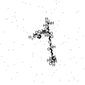 C[C@H](N)C(=O)N1CCC[C@H]1C(=O)N[C@@H](C)C(=O)N[C@@H](CCCNC(=N)N)C(=O)NC(=O)CCOCCNC(=O)CCCC[C@@H]1SC[C@@H]2NC(=O)N[C@@H]21